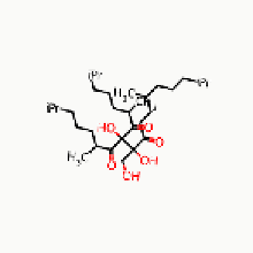 CC(C)CCCC(C)CCC(=O)C(O)(CO)C(O)(C(=O)C(C)CCCC(C)C)C(=O)C(C)CCCC(C)C